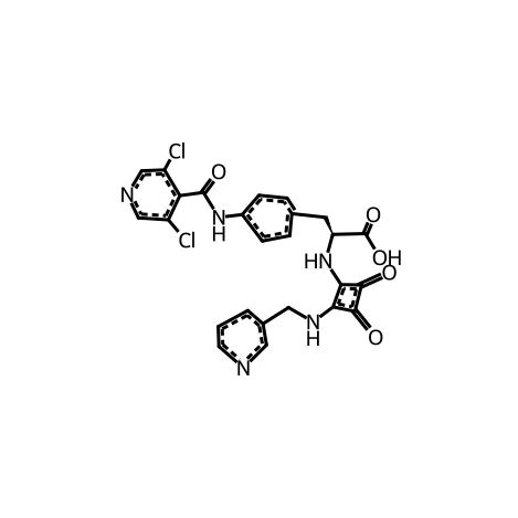 O=C(Nc1ccc(C[C@H](Nc2c(NCc3cccnc3)c(=O)c2=O)C(=O)O)cc1)c1c(Cl)cncc1Cl